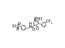 CCc1c(-c2cccc(C(F)(F)F)c2)c(=O)c(C(=O)NCc2ccc(S(=O)(=O)CC)cc2)cn1C(C)C